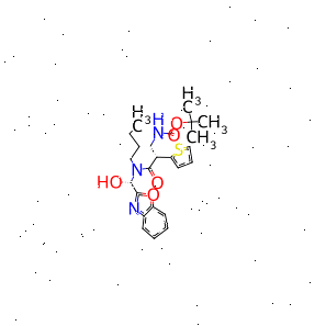 CCCCN(C(=O)[C@H](CNC(=O)OC(C)(C)C)c1cccs1)[C@@H](O)c1nc2ccccc2o1